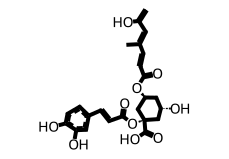 C=C(O)/C=C(C)/C=C/C(=O)O[C@H]1C[C@H](O)C[C@@](OC(=O)/C=C/c2ccc(O)c(O)c2)(C(=O)O)C1